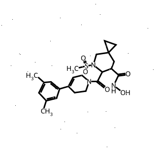 Cc1cc(C)cc(C2=CCN(C(=O)C3C(C(=O)NO)CC4(CC4)CN3S(C)(=O)=O)CC2)c1